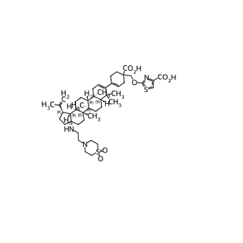 C=C(C)[C@@H]1CC[C@]2(NCCN3CCS(=O)(=O)CC3)CC[C@]3(C)[C@H](CC[C@@H]4[C@@]5(C)CC=C(C6=CCC(COc7nc(C(=O)O)cs7)(C(=O)O)CC6)C(C)(C)[C@@H]5CC[C@]43C)[C@@H]12